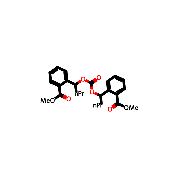 CCCC(OC(=O)OC(CCC)c1ccccc1C(=O)OC)c1ccccc1C(=O)OC